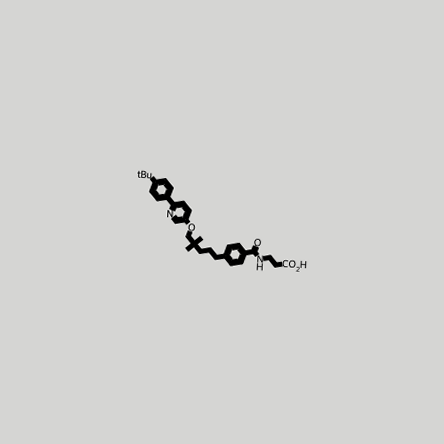 CC(C)(CCCc1ccc(C(=O)NCCC(=O)O)cc1)COc1ccc(-c2ccc(C(C)(C)C)cc2)nc1